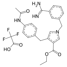 CCOC(=O)c1cn(Cc2cccc(C(=N)N)c2)cc1Cc1ccc(NC(C)=O)cc1.O=C(O)C(F)(F)F